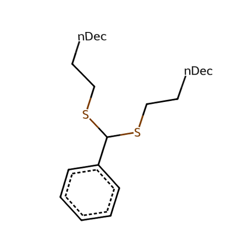 CCCCCCCCCCCCSC(SCCCCCCCCCCCC)c1ccccc1